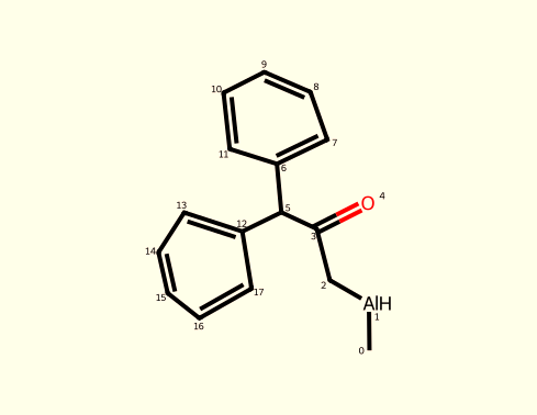 [CH3][AlH][CH2]C(=O)C(c1ccccc1)c1ccccc1